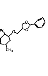 CC1CCC(C(C)C)C(OCC2COC(c3ccccc3)O2)C1